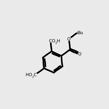 CCC(C)OC(=O)c1ccc(C(=O)O)cc1C(=O)O